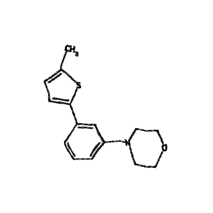 Cc1ccc(-c2cccc(N3CCOCC3)c2)s1